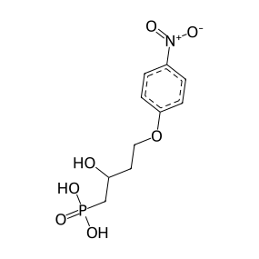 O=[N+]([O-])c1ccc(OCCC(O)CP(=O)(O)O)cc1